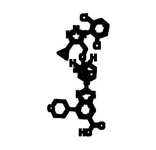 O=C(O)c1cc(C2CCOCC2)c2nc(N3C[C@@H]4CCC3C[C@H]4OCc3c(C4CC4)nnn3-c3c(Cl)cccc3Cl)sc2c1